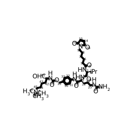 CC(C)[C@H](NC(=O)CCCCCN1C(=O)C=CC1=O)C(=O)N[C@@H](CCCNC(N)=O)C(=O)Nc1ccc(COC(=O)NC(C=O)CCCC[N+](C)(C)C)cc1